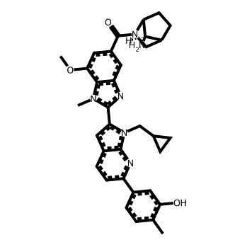 COc1cc(C(=O)N2CC3CCC2[C@@H]3N)cc2nc(-c3cc4ccc(-c5ccc(C)c(O)c5)nc4n3CC3CC3)n(C)c12